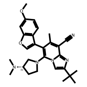 COc1ccc2c(-c3c(C)c(C#N)c4nc(C(C)(C)C)cn4c3N3CC[C@H](N(C)C)C3)coc2c1